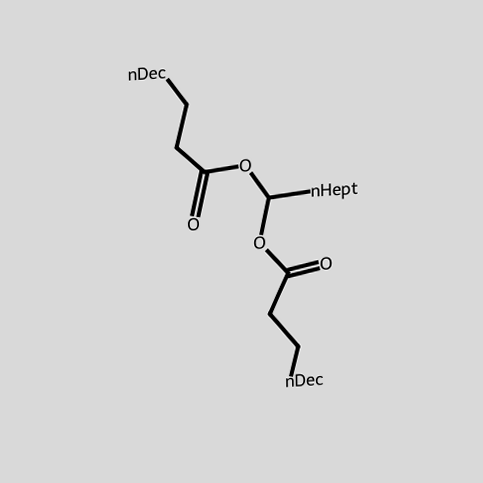 CCCCCCCCCCCCC(=O)OC(CCCCCCC)OC(=O)CCCCCCCCCCCC